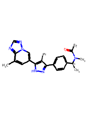 CCC(=O)N(C)[C@@H](C)c1ccc(-c2n[nH]c(-c3cc(C)c4ncnn4c3)c2C(C)C)cc1